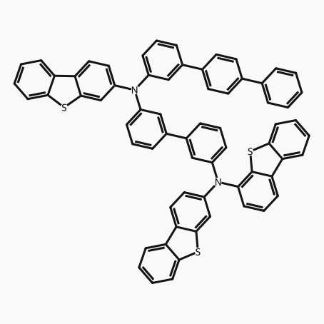 c1ccc(-c2ccc(-c3cccc(N(c4cccc(-c5cccc(N(c6ccc7c(c6)sc6ccccc67)c6cccc7c6sc6ccccc67)c5)c4)c4ccc5c(c4)sc4ccccc45)c3)cc2)cc1